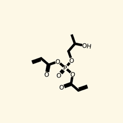 C=CC(=O)OP(=O)(OCC(C)O)OC(=O)C=C